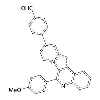 COc1ccc(-c2nc3ccccc3c3cc4cc(-c5ccc(C=O)cc5)ccn4c23)cc1